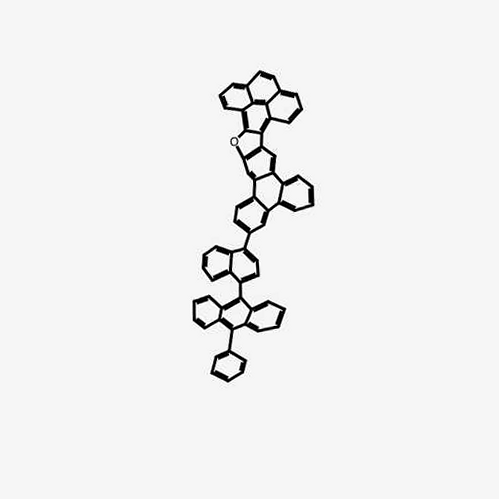 c1ccc(-c2c3ccccc3c(-c3ccc(-c4ccc5c(c4)c4ccccc4c4cc6c(cc54)oc4c5cccc7ccc8cccc(c64)c8c75)c4ccccc34)c3ccccc23)cc1